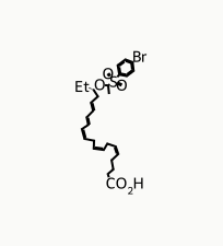 CC[C@@H](C/C=C/C=C/C=C\C/C=C\C/C=C\CCCC(=O)O)OC(C)S(=O)(=O)c1ccc(Br)cc1